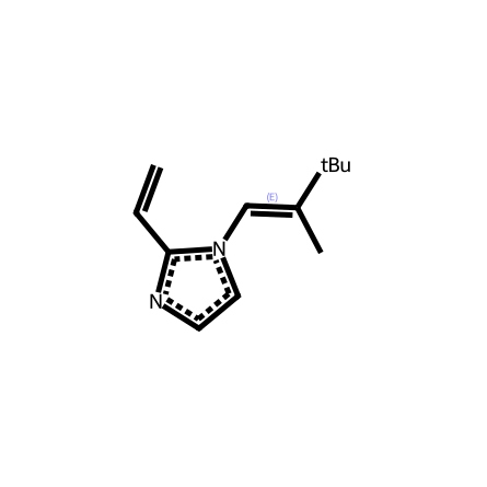 C=Cc1nccn1/C=C(\C)C(C)(C)C